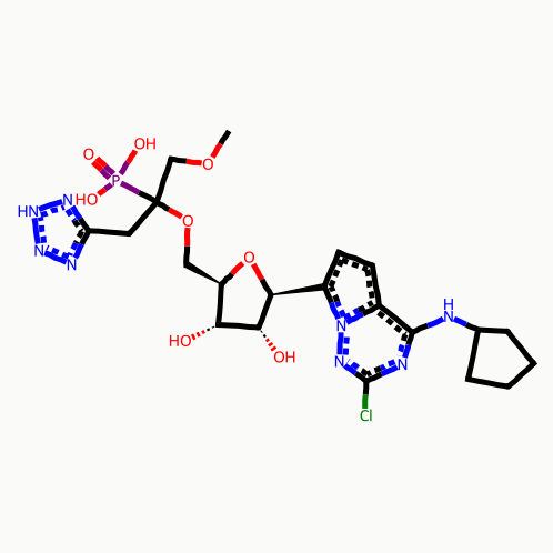 COCC(Cc1nn[nH]n1)(OC[C@H]1O[C@@H](c2ccc3c(NC4CCCC4)nc(Cl)nn23)[C@H](O)[C@@H]1O)P(=O)(O)O